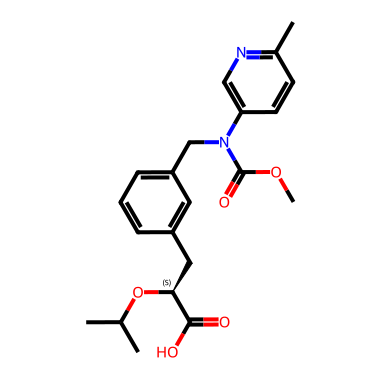 COC(=O)N(Cc1cccc(C[C@H](OC(C)C)C(=O)O)c1)c1ccc(C)nc1